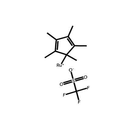 CC1=C(C)[C](C)([Ru+])C(C)=C1C.O=S(=O)([O-])C(F)(F)F